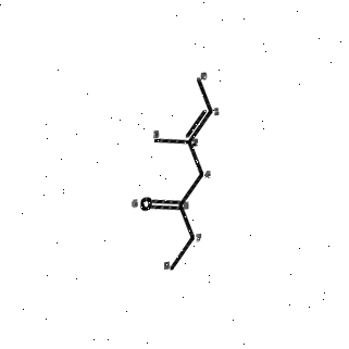 C/C=C(\C)CC(=O)CC